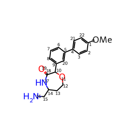 COc1ccc(-c2cccc(C3OCCC(CN)NC3=O)c2)cc1